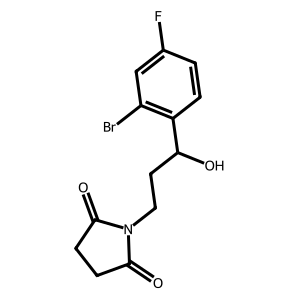 O=C1CCC(=O)N1CCC(O)c1ccc(F)cc1Br